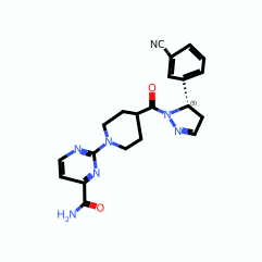 N#Cc1cccc([C@@H]2CC=NN2C(=O)C2CCN(c3nccc(C(N)=O)n3)CC2)c1